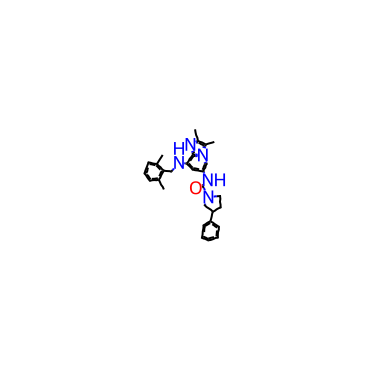 Cc1cccc(C)c1CNc1cc(NC(=O)N2CCC(c3ccccc3)C2)cn2c(C)c(C)nc12